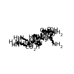 C[C@H](NC(=O)[C@@H](NC(=O)C(N)CCCCN)[C@@H](O)CN)C(=O)NCC(=O)N[C@H](CCCN)C(=O)N1CCC[C@H]1C(=O)N[C@@H](Cc1ccncc1)C(=O)N[C@@H](CCCCN)C(=O)N/C(=C\CCNC(=N)N)C(=O)O